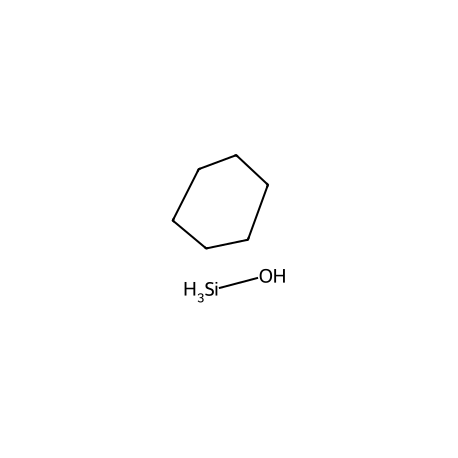 C1CCCCC1.O[SiH3]